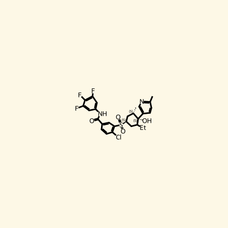 CCC1C[C@@H](S(=O)(=O)c2cc(C(=O)Nc3cc(F)c(F)c(F)c3)ccc2Cl)C[C@H](C)[C@@]1(O)c1ccc(C)nc1